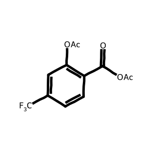 CC(=O)OC(=O)c1ccc(C(F)(F)F)cc1OC(C)=O